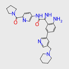 N=C(C(=O)Nc1ccc(C(=O)N2CCCC2)nc1)c1cc(-c2cncc(CN3CCCCC3)c2)ccc1N